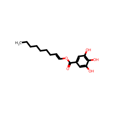 CCCCCCCC=COC(=O)c1cc(O)c(O)c(O)c1